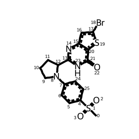 CS(=O)(=O)c1ccc(N2CCCC2c2nc3cc(Br)sc3c(=O)[nH]2)cc1